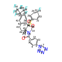 O=C(c1ccc(-n2cnnn2)cc1)N1CC[C@@]2(S(=O)(=O)c3ccc(F)cc3)c3ccc(C(F)(C(F)(F)F)C(F)(F)F)cc3CC[C@@H]12